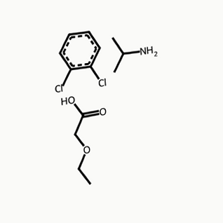 CC(C)N.CCOCC(=O)O.Clc1ccccc1Cl